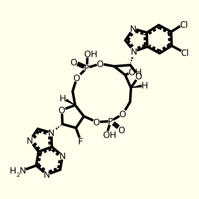 Nc1ncnc2c1ncn2[C@@H]1O[C@@H]2COP(=O)(O)OC3C(O)[C@@H](COP(=O)(O)OC2C1F)O[C@H]3n1cnc2cc(Cl)c(Cl)cc21